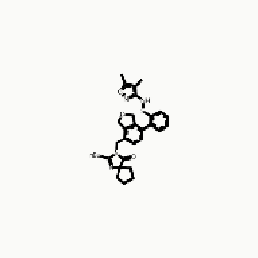 CCCCC1=NC2(CCCC2)C(=O)N1Cc1ccc(-c2ccccc2SNc2noc(C)c2C)c2c1COC2